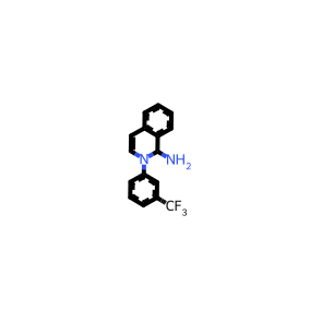 NC1c2ccccc2C=CN1c1cccc(C(F)(F)F)c1